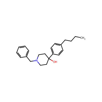 CCCCc1ccc(C2(O)CCN(Cc3ccccc3)CC2)cc1